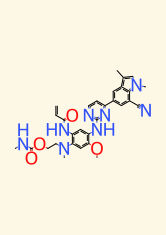 C=CC(=O)Nc1cc(Nc2nccc(-c3cc(C#N)c4c(c3)c(C)cn4C)n2)c(OC)cc1N(C)CCOC(=O)NC